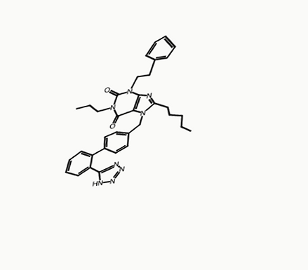 CCCCCc1nc2c(c(=O)n(CCC)c(=O)n2CCc2ccccc2)n1Cc1ccc(-c2ccccc2-c2nnn[nH]2)cc1